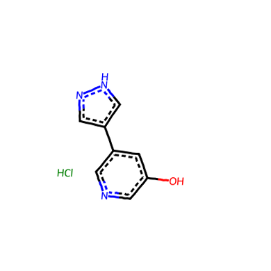 Cl.Oc1cncc(-c2cn[nH]c2)c1